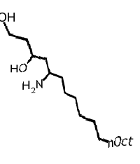 CCCCCCCCCCCCCCC(N)CC(O)CCO